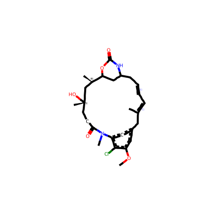 COc1cc2cc(c1Cl)N(C)C(=O)CC[C@](C)(O)C[C@@H](C)C1CC(C/C=C/C=C(\C)C2)NC(=O)O1